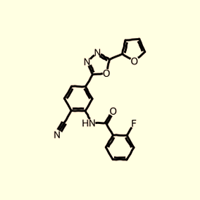 N#Cc1ccc(-c2nnc(-c3ccco3)o2)cc1NC(=O)c1ccccc1F